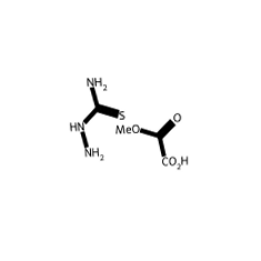 COC(=O)C(=O)O.NNC(N)=S